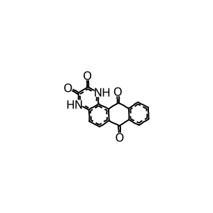 O=C1c2ccccc2C(=O)c2c1ccc1[nH]c(=O)c(=O)[nH]c21